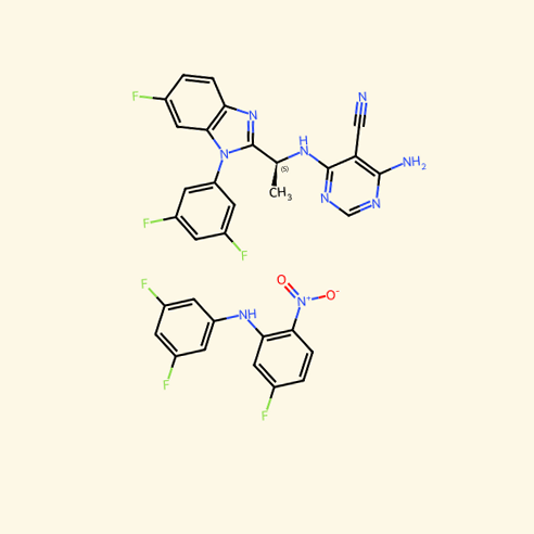 C[C@H](Nc1ncnc(N)c1C#N)c1nc2ccc(F)cc2n1-c1cc(F)cc(F)c1.O=[N+]([O-])c1ccc(F)cc1Nc1cc(F)cc(F)c1